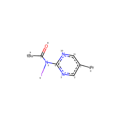 CC(C)c1cnc(N(I)C(=O)C(C)(C)C)nc1